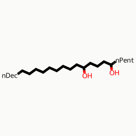 CCCCCCCCCCCCCCCCCCCC(O)CCCC(O)CCCCC